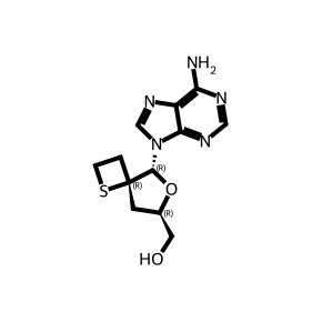 Nc1ncnc2c1ncn2[C@@H]1O[C@@H](CO)C[C@@]12CCS2